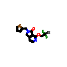 CCC(F)(F)COc1nccc2c1C(=O)N(Cc1cccs1)C2